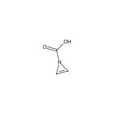 O=C(O)N1C=C1